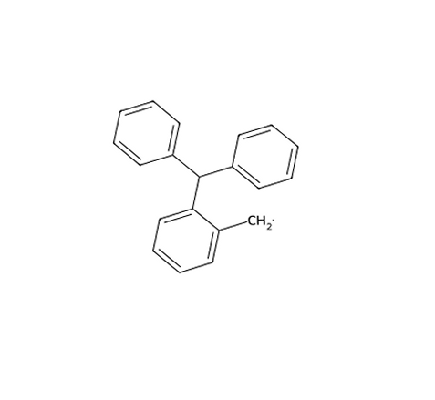 [CH2]c1ccccc1C(c1ccccc1)c1ccccc1